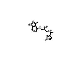 Cc1n[nH]c2cccc(OC[C@@H](O)CNC(C)c3ccn(C)n3)c12